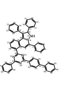 C1=C(c2ccccc2)N2NC(c3ccccc3)C(c3ccccc3)=C2c2cccc(-c3nc(-c4ccccc4)nc(-c4ccc(-c5ccccc5)cc4)n3)c21